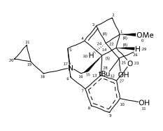 CO[C@@]12CC(=C3C4Cc5ccc(O)c6c5[C@@]3(CCN4CC3CC3)[C@H]1O6)[C@@H]2C(C)(O)C(C)(C)C